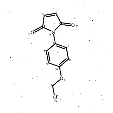 O=C1C=CC(=O)N1c1ccc(OCC(F)(F)F)cc1